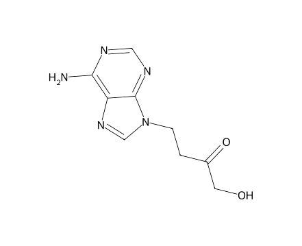 Nc1ncnc2c1ncn2CCC(=O)CO